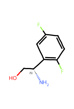 N[C@H](CO)c1cc(F)ccc1F